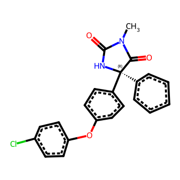 CN1C(=O)N[C@](c2ccccc2)(c2ccc(Oc3ccc(Cl)cc3)cc2)C1=O